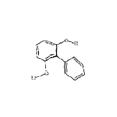 CCOc1c[c]cc(OCC)c1-c1ccccc1